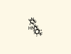 Fc1ccc2[nH]c(-c3ccns3)cc2c1